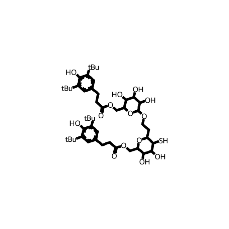 CC(C)(C)c1cc(CCC(=O)OCC2OC(OCCC3OC(COC(=O)CCc4cc(C(C)(C)C)c(O)c(C(C)(C)C)c4)C(O)C(O)C3S)C(O)C(O)C2O)cc(C(C)(C)C)c1O